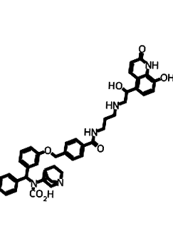 O=C(NCCCNCC(O)c1ccc(O)c2[nH]c(=O)ccc12)c1ccc(COc2cccc(C(c3ccccc3)N(C(=O)O)C3CN4CCC3CC4)c2)cc1